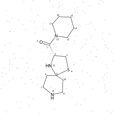 O=C([C@@H]1CSC2(CCNCC2)N1)N1CCCCC1